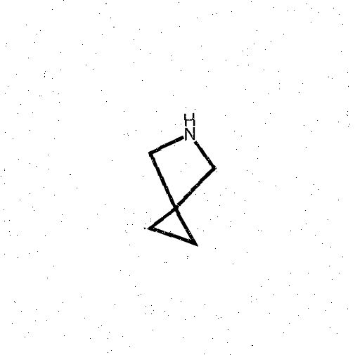 [CH]1CC12CNC2